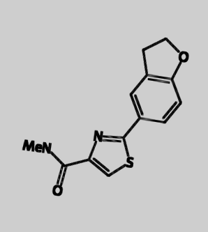 CNC(=O)c1csc(-c2ccc3c(c2)CCO3)n1